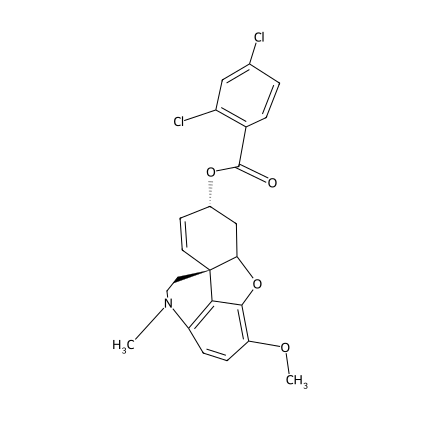 COc1ccc2c3c1OC1C[C@@H](OC(=O)c4ccc(Cl)cc4Cl)C=C[C@@]31CCN2C